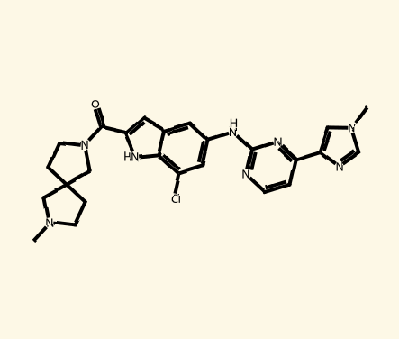 CN1CCC2(CCN(C(=O)c3cc4cc(Nc5nccc(-c6cn(C)cn6)n5)cc(Cl)c4[nH]3)C2)C1